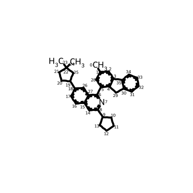 Cc1cc2c(c(-c3nc(C4CCCC4)cc4ccc(C5CCC(C)(C)C5)cc34)c1)Cc1ccccc1-2